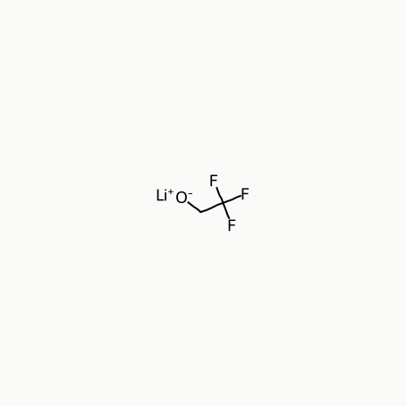 [Li+].[O-]CC(F)(F)F